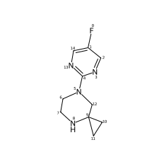 Fc1cnc(N2CCNC3(CC3)C2)nc1